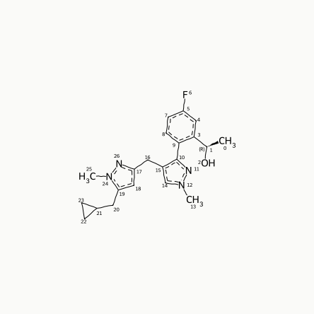 C[C@@H](O)c1cc(F)ccc1-c1nn(C)cc1Cc1cc(CC2CC2)n(C)n1